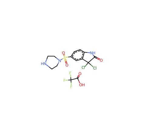 O=C(O)C(F)(F)F.O=C1Nc2ccc(S(=O)(=O)N3CCNCC3)cc2C1(Cl)Cl